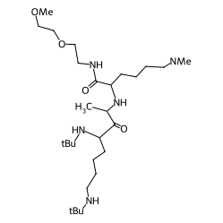 CNCCCCC(NC(C)C(=O)C(CCCCNC(C)(C)C)NC(C)(C)C)C(=O)NCCOCCOC